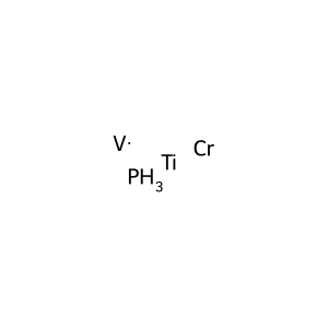 P.[Cr].[Ti].[V]